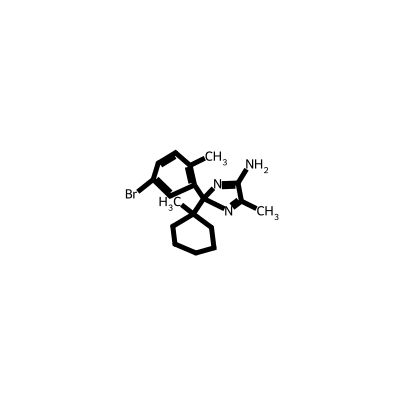 CC1=NC(c2cc(Br)ccc2C)(C2(C)CCCCC2)N=C1N